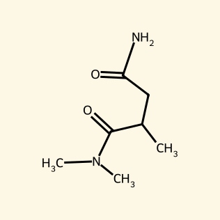 CC(CC(N)=O)C(=O)N(C)C